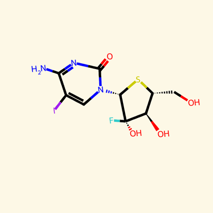 Nc1nc(=O)n([C@@H]2S[C@H](CO)[C@@H](O)[C@@]2(O)F)cc1I